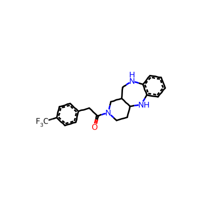 O=C(Cc1ccc(C(F)(F)F)cc1)N1CCC2Nc3ccccc3NCC2C1